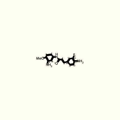 COc1ccc(NC(=O)C=Cc2ccc(N)c(F)c2)cc1N